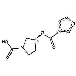 O=C(O)N1CC[C@H](NC(=O)n2ccnc2)C1